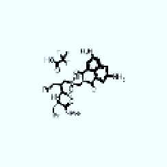 CNC(=O)[C@H](CC(C)C)NC(=O)C(CC(C)C)CP(=O)(O)CN1C(=O)c2cc(N)cc3cc(N)cc(c23)C1=O.O=C(O)C(F)(F)F